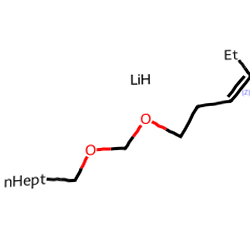 [CH2]C/C=C\CCOCOCCCCCCCC.[LiH]